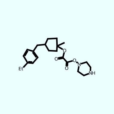 CCc1ccc(CC2CCC(C)(OC(=O)C(=O)ON3CCNCC3)CC2)cc1